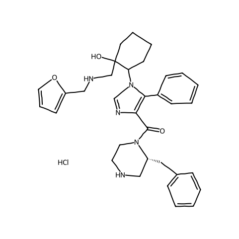 Cl.O=C(c1ncn(C2CCCCC2(O)CNCc2ccco2)c1-c1ccccc1)N1CCNC[C@H]1Cc1ccccc1